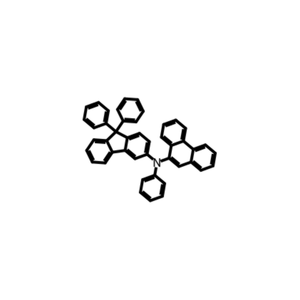 c1ccc(N(c2ccc3c(c2)-c2ccccc2C3(c2ccccc2)c2ccccc2)c2cc3ccccc3c3ccccc23)cc1